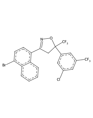 FC(F)(F)c1cc(Cl)cc(C2(C(F)(F)F)CC(c3ccc(Br)c4ccccc34)=NO2)c1